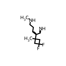 CNCC/C=C(\C=N)C1(C)CC(F)(F)C1